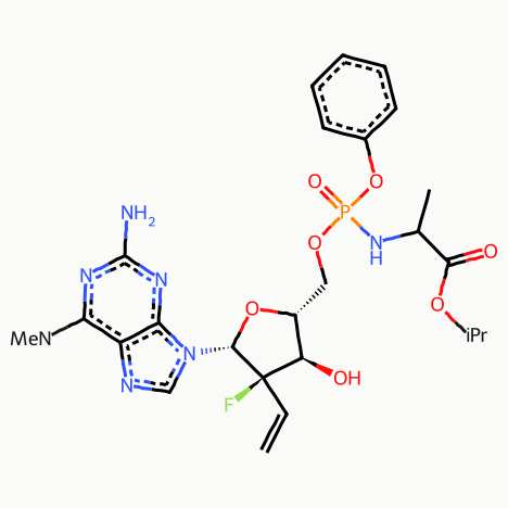 C=C[C@@]1(F)[C@H](O)[C@@H](COP(=O)(NC(C)C(=O)OC(C)C)Oc2ccccc2)O[C@H]1n1cnc2c(NC)nc(N)nc21